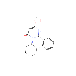 O=c1cc(O)nc(-c2ccccc2)n1C1CCCCC1